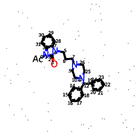 CC(=O)n1c(=O)n(CCCN2CCN(C(c3ccccc3)c3ccccc3)CC2)c2ccccc21